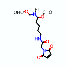 CCN(COC=O)C(CCCCNC(=O)CN1C(=O)C=CC1=O)OC=O